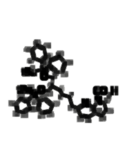 CC(C)(C)[Si](OCC(CCCCc1ccc2c(n1)N(C(=O)O)CCC2)CO[Si](c1ccccc1)(c1ccccc1)C(C)(C)C)(c1ccccc1)c1ccccc1